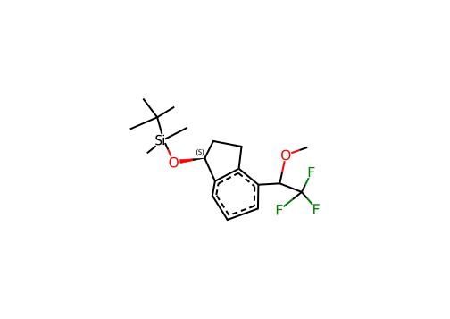 COC(c1cccc2c1CC[C@@H]2O[Si](C)(C)C(C)(C)C)C(F)(F)F